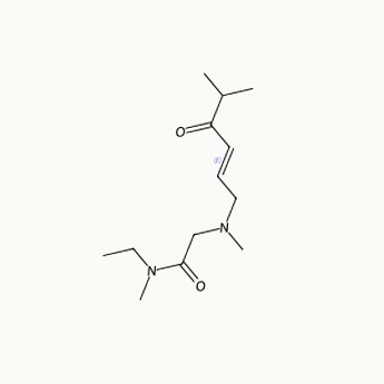 CCN(C)C(=O)CN(C)C/C=C/C(=O)C(C)C